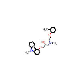 Cc1ccccc1OCCN(C)CC(O)COc1cccc2c1c1ccccc1n2C